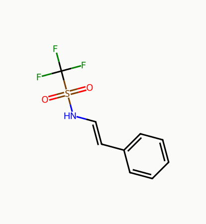 O=S(=O)(NC=Cc1ccccc1)C(F)(F)F